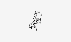 CN1C=CC=C(SC2=CNC3NC(N4CCC(C)(N)CC4)N(C)C3N2C)C1C(F)(F)F